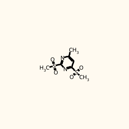 Cc1cc(S(C)(=O)=O)nc(S(C)(=O)=O)n1